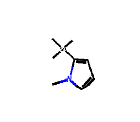 Cn1ccc[c]1[Sn]([CH3])([CH3])[CH3]